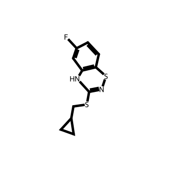 Fc1ccc2c(c1)NC(SCC1CC1)=NS2